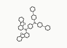 c1ccc(-c2ccc(N(c3ccc(-c4ccccc4)cc3)c3ccc(N(c4cccc5c4oc4ccccc45)c4cccc5c4oc4ccccc45)cc3)cc2)cc1